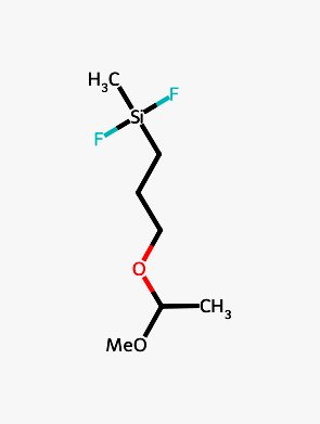 COC(C)OCCC[Si](C)(F)F